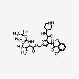 CC(C)[C@H](NC(=O)OC(C)(C)C)C(=O)OCn1cc(NC(=O)c2c(Cl)cccc2Cl)c(C(=O)NC2CCNCC2)n1